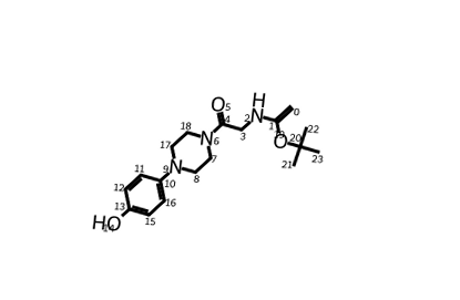 C=C(NCC(=O)N1CCN(c2ccc(O)cc2)CC1)OC(C)(C)C